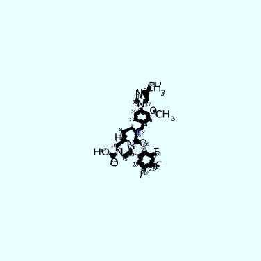 COc1cc(/C=C2\CC[C@@H]3CN(C(=O)O)C[C@@H](c4cc(F)c(F)c(F)c4)N3C2=O)ccc1-n1cnc(C)c1